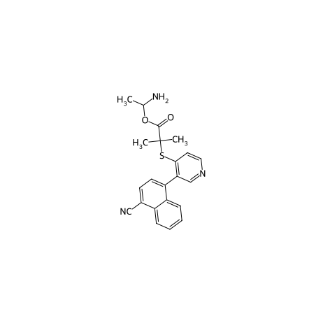 CC(N)OC(=O)C(C)(C)Sc1ccncc1-c1ccc(C#N)c2ccccc12